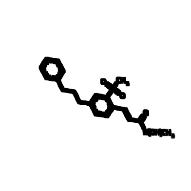 CN(O)C(=O)C=Cc1ccc(CCCc2ccccc2)cc1S(C)(=O)=O